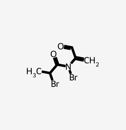 C=C(C=O)N(Br)C(=O)C(C)Br